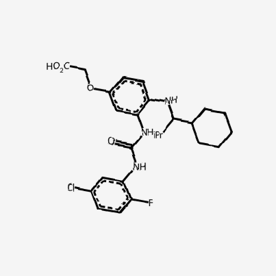 CC(C)C(Nc1ccc(OCC(=O)O)cc1NC(=O)Nc1cc(Cl)ccc1F)C1CCCCC1